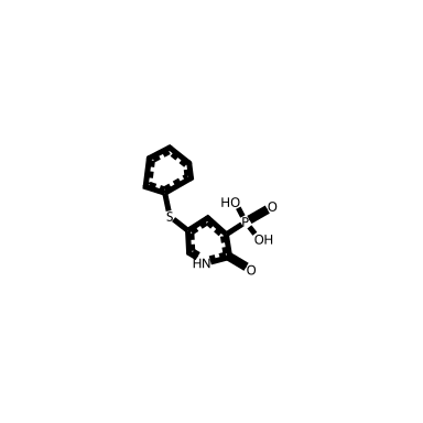 O=c1[nH]cc(Sc2ccccc2)cc1P(=O)(O)O